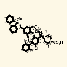 Cc1cc(CO[Si](c2ccccc2)(c2ccccc2)C(C)(C)C)cc(C(C)C)c1N1c2nc(-c3c(N)cccc3F)c(Cl)cc2C(N2C[C@@H](C)N(C(=O)O)C[C@@H]2C)=NS1(=O)=O